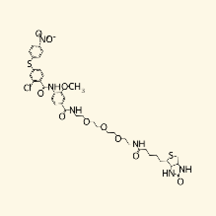 COc1cc(C(=O)NCCOCCOCCOCCNC(=O)CCCCC2SCC3NC(=O)NC32)ccc1NC(=O)c1ccc(Sc2ccc([N+](=O)[O-])cc2)cc1Cl